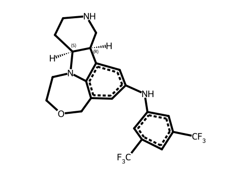 FC(F)(F)c1cc(Nc2cc3c4c(c2)[C@@H]2CNCC[C@@H]2N4CCOC3)cc(C(F)(F)F)c1